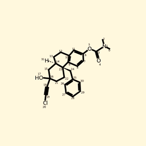 CN(C)C(=O)Oc1ccc2c(c1)CC[C@@H]1CC(O)(C#CCl)CC[C@@]21Cc1ccccc1